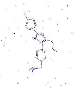 CCCc1nc(-c2ccc(F)cc2)[nH]c1-c1ccc(CNC)cc1